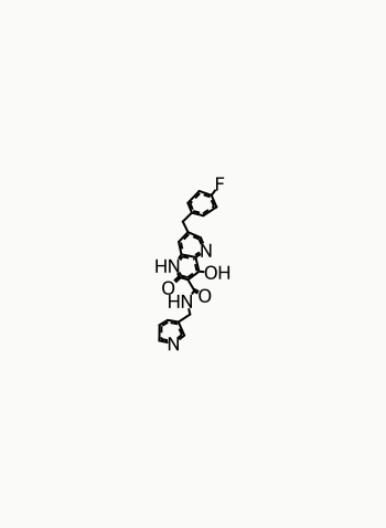 O=C(NCc1cccnc1)c1c(O)c2ncc(Cc3ccc(F)cc3)cc2[nH]c1=O